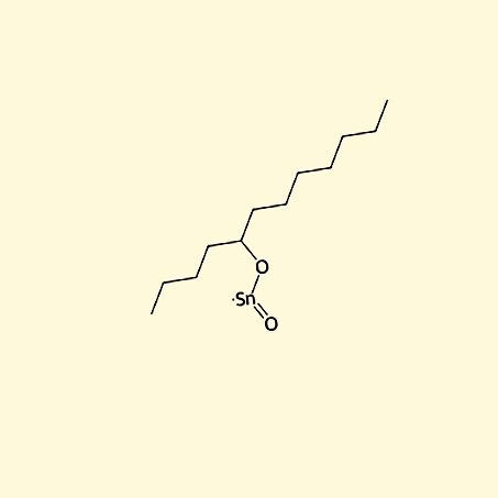 CCCCCCCC(CCCC)[O][Sn]=[O]